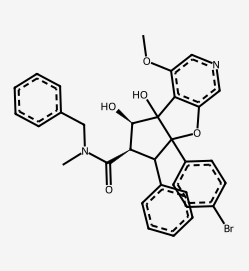 COc1cncc2c1C1(O)[C@H](O)[C@H](C(=O)N(C)Cc3ccccc3)C(c3ccccc3)C1(c1ccc(Br)cc1)O2